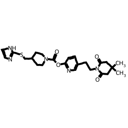 CC1(C)CC(=O)N(CCc2ccc(OC(=O)N3CCC(CSc4ncc[nH]4)CC3)nc2)C(=O)C1